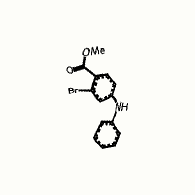 COC(=O)c1ccc(Nc2ccccc2)cc1Br